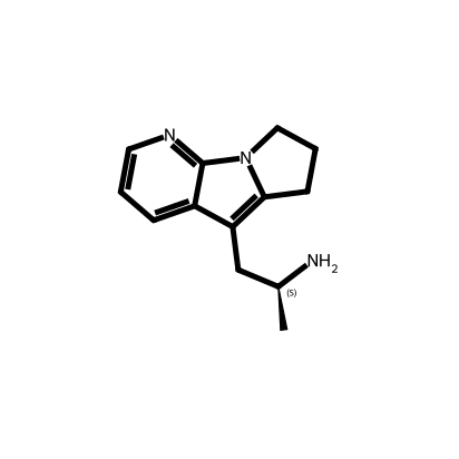 C[C@H](N)Cc1c2n(c3ncccc13)CCC2